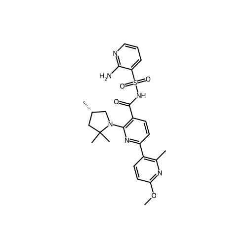 COc1ccc(-c2ccc(C(=O)NS(=O)(=O)c3cccnc3N)c(N3C[C@@H](C)CC3(C)C)n2)c(C)n1